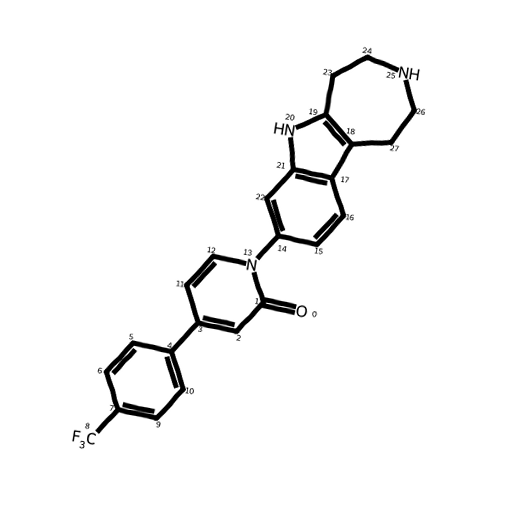 O=c1cc(-c2ccc(C(F)(F)F)cc2)ccn1-c1ccc2c3c([nH]c2c1)CCNCC3